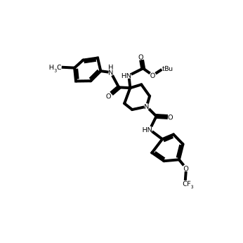 Cc1ccc(NC(=O)C2(NC(=O)OC(C)(C)C)CCN(C(=O)Nc3ccc(OC(F)(F)F)cc3)CC2)cc1